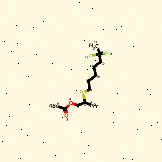 CCCCC(=O)OCC(CCC)SCCCCCC(C)(F)F